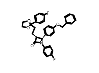 O=C1[C@@H](CCC2(c3ccc(F)cc3)OCCO2)[C@@H](c2ccc(OCc3ccccc3)cc2)N1c1ccc(F)cc1